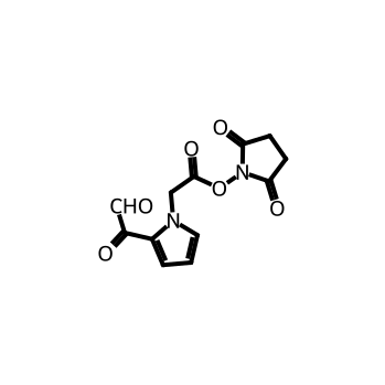 O=CC(=O)c1cccn1CC(=O)ON1C(=O)CCC1=O